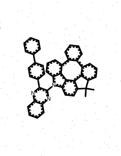 CC1(C)c2cccc3c4ccccc4c4cccc5c4c4c(c1ccc4n5-c1nc4ccccc4nc1-c1ccc(-c4ccccc4)cc1)c23